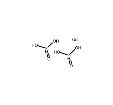 O=[PH](O)O.O=[PH](O)O.[Gd]